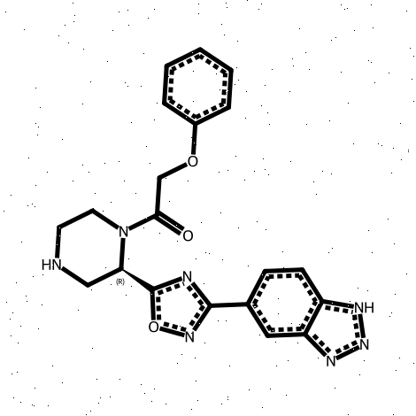 O=C(COc1ccccc1)N1CCNC[C@@H]1c1nc(-c2ccc3[nH]nnc3c2)no1